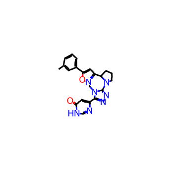 Cc1cccc(-c2cc(C3CCCN3c3nnc(-c4cc(=O)[nH]cn4)n3C)no2)c1